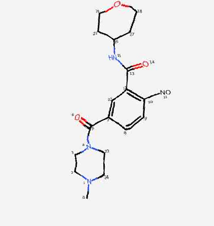 CN1CCN(C(=O)c2ccc(N=O)c(C(=O)NC3CCOCC3)c2)CC1